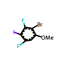 COc1cc(F)c(I)c(F)c1Br